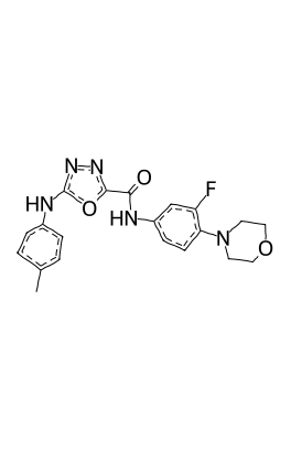 Cc1ccc(Nc2nnc(C(=O)Nc3ccc(N4CCOCC4)c(F)c3)o2)cc1